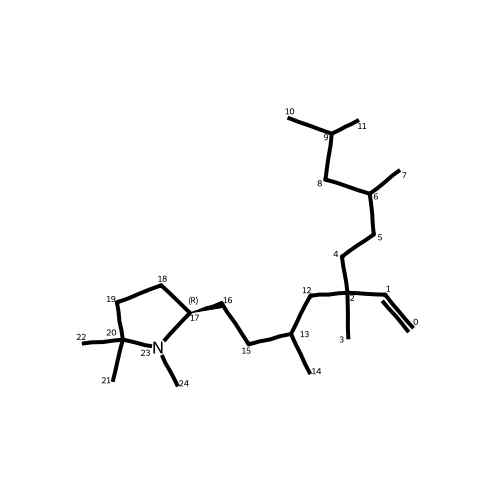 C=CC(C)(CCC(C)CC(C)C)CC(C)CC[C@@H]1CCC(C)(C)N1C